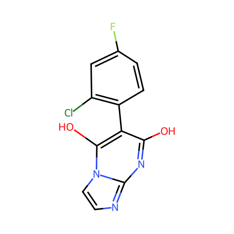 Oc1nc2nccn2c(O)c1-c1ccc(F)cc1Cl